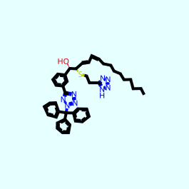 CCCCCCCCC/C=C\C=C\[C@@H](SCCc1nnn[nH]1)[C@@H](O)c1cccc(-c2nnn(C(c3ccccc3)(c3ccccc3)c3ccccc3)n2)c1